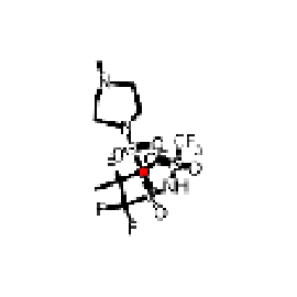 CN1CCN(S(=O)(=O)C(F)(F)C(C)(F)C(F)(F)S(=O)(=O)NS(=O)(=O)C(F)(F)F)CC1